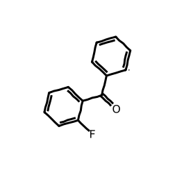 O=C(c1[c]cccc1)c1ccccc1F